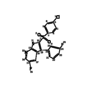 O=S(=O)(c1ccc(Cl)cc1)c1sc2ncc(F)cc2c1-c1cccc(F)c1